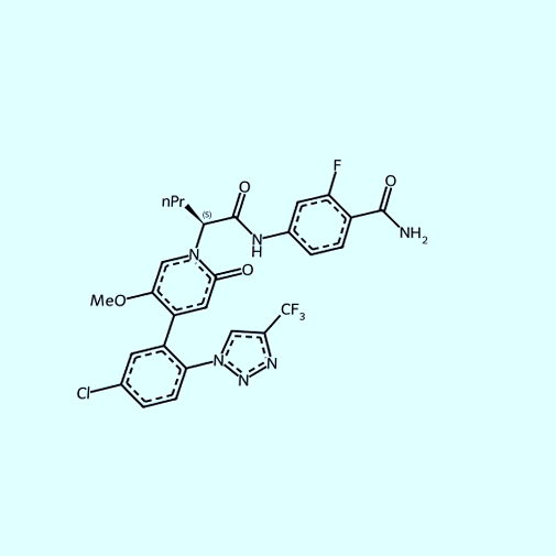 CCC[C@@H](C(=O)Nc1ccc(C(N)=O)c(F)c1)n1cc(OC)c(-c2cc(Cl)ccc2-n2cc(C(F)(F)F)nn2)cc1=O